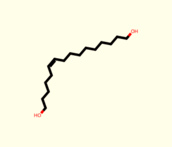 OCCCCC/C=C\CCCCCCCCCO